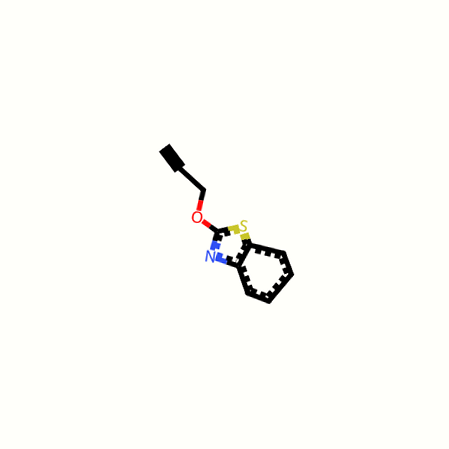 C#CCOc1nc2ccccc2s1